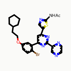 CC(=O)Nc1ncc(-c2cc(-c3cc(OCCC4CCCCC4)ccc3Br)nc(-c3cnccn3)n2)s1